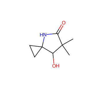 CC1(C)C(=O)NC2(CC2)C1O